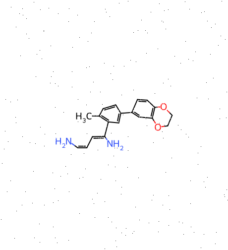 Cc1ccc(-c2ccc3c(c2)OCCO3)cc1/C(N)=C/C=C\N